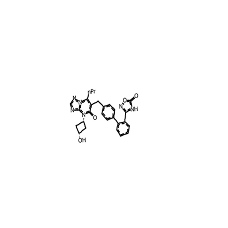 CCCc1c(Cc2ccc(-c3ccccc3-c3noc(=O)[nH]3)cc2)c(=O)n([C@H]2C[C@@H](O)C2)c2ncnn12